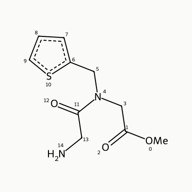 COC(=O)CN(Cc1cccs1)C(=O)CN